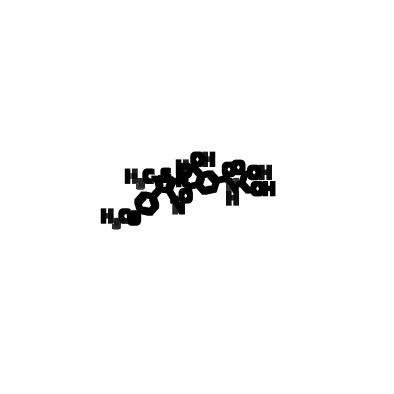 COc1ccc(-c2c(C)sc(NC(=O)c3ccc(C(=O)NC(CO)C(=O)O)cc3C(=O)O)c2C#N)cc1